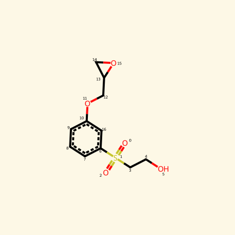 O=S(=O)(CCO)c1cccc(OCC2CO2)c1